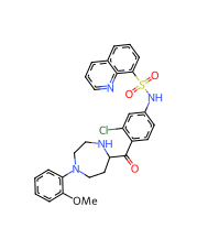 COc1ccccc1N1CCNC(C(=O)c2ccc(NS(=O)(=O)c3cccc4cccnc34)cc2Cl)CC1